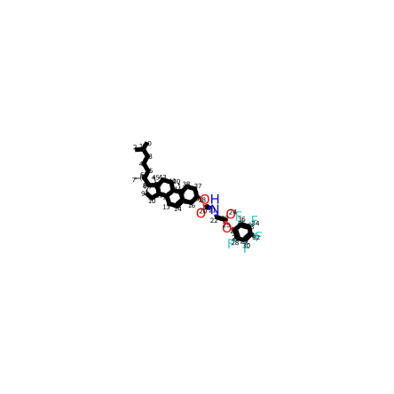 CC(C)CCC[C@@H](C)[C@H]1CCC2C3CC=C4C[C@@H](OC(=O)NCC(=O)Oc5c(F)c(F)c(F)c(F)c5F)CC[C@]4(C)C3CC[C@@]21C